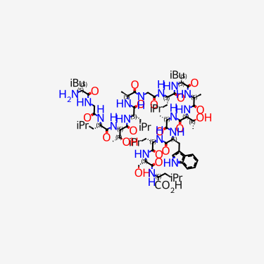 CC[C@H](C)[C@H](N)C(=O)NCC(=O)N[C@@H](CC(C)C)C(=O)N[C@H](C(=O)N[C@@H](CC(C)C)C(=O)N[C@@H](C)C(=O)NCC(=O)N[C@@H](CC(C)C)C(=O)N[C@H](C(=O)N[C@@H](C)C(=O)N[C@H](C(=O)N[C@@H](C)C(=O)N[C@@H](Cc1c[nH]c2ccccc12)C(=O)N[C@@H](CC(C)C)C(=O)N[C@@H](CO)C(=O)N[C@@H](CC(C)C)C(=O)O)[C@@H](C)O)[C@@H](C)CC)[C@@H](C)O